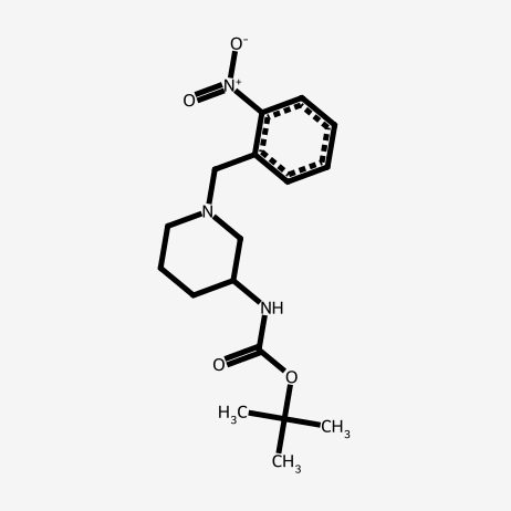 CC(C)(C)OC(=O)NC1CCCN(Cc2ccccc2[N+](=O)[O-])C1